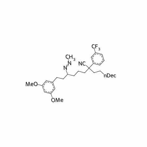 CCCCCCCCCCCCC(C#N)(CCCC(CCc1cc(OC)cc(OC)c1)N=NC)c1cccc(C(F)(F)F)c1